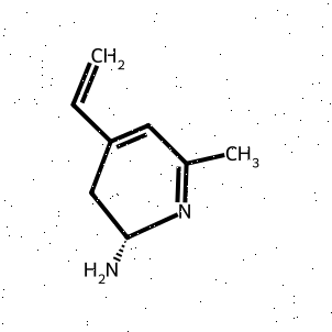 C=CC1=CC(C)=N[C@H](N)C1